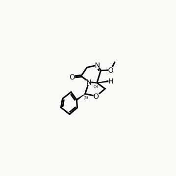 COC1=NCC(=O)N2[C@H]1CO[C@H]2c1ccccc1